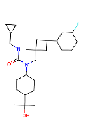 CC1(CN(C(=O)NCC2CC2)C2CCC(C(C)(C)O)CC2)CC(C)(C2CCCC(F)C2)C1